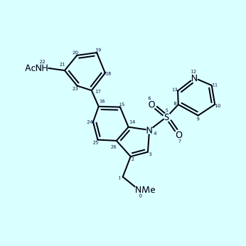 CNCc1cn(S(=O)(=O)c2cccnc2)c2cc(-c3cccc(NC(C)=O)c3)ccc12